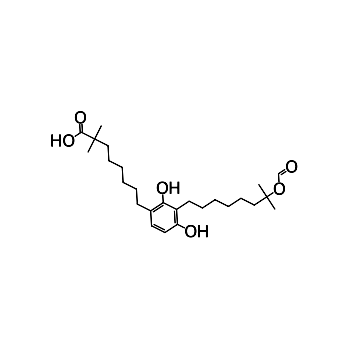 CC(C)(CCCCCCc1c(O)ccc(CCCCCCC(C)(C)C(=O)O)c1O)OC=O